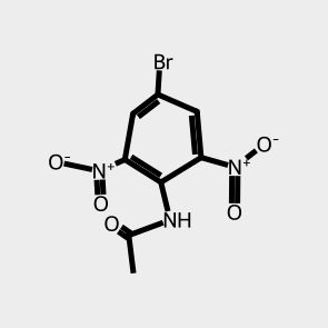 CC(=O)Nc1c([N+](=O)[O-])cc(Br)cc1[N+](=O)[O-]